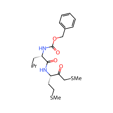 CSCC[C@H](NC(=O)[C@H](CC(C)C)NC(=O)OCc1ccccc1)C(=O)CSC